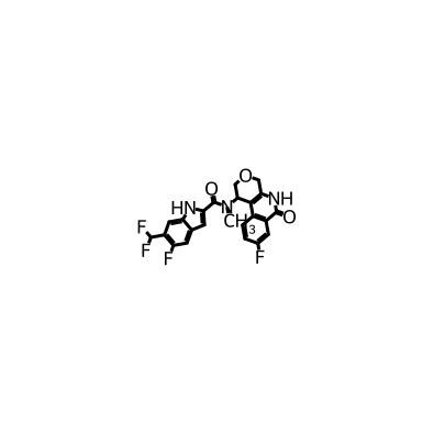 CN(C(=O)c1cc2cc(F)c(C(F)F)cc2[nH]1)C1COCc2[nH]c(=O)c3cc(F)ccc3c21